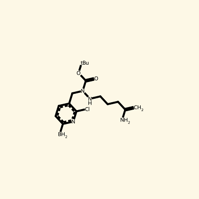 Bc1ccc(CN(NCCCC(=C)N)C(=O)OC(C)(C)C)c(Cl)n1